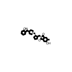 CC1CC2C(=O)N(CC3CCC[C@@H]3CN3CCC(c4noc5ccccc45)CC3)C(=O)C2CC1O